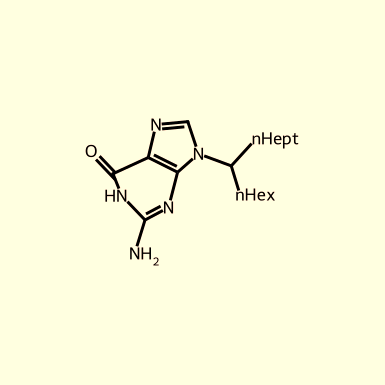 CCCCCCCC(CCCCCC)n1cnc2c(=O)[nH]c(N)nc21